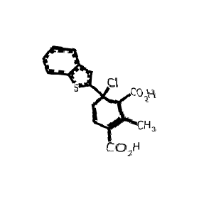 CC1=C(C(=O)O)C=CC(Cl)(c2cc3ccccc3s2)C1C(=O)O